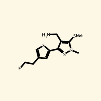 CSc1c(CN)c(-c2cc(CCF)[c]s2)nn1C